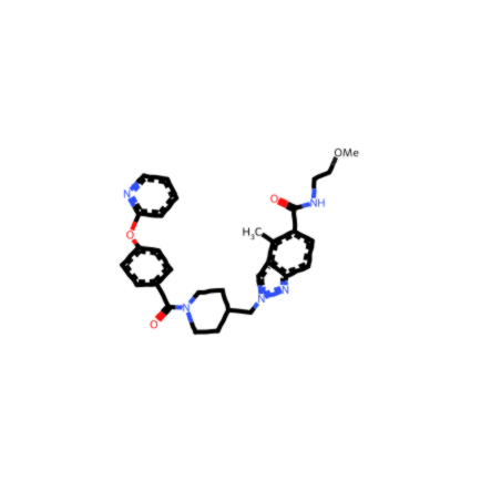 COCCNC(=O)c1ccc2nn(CC3CCN(C(=O)c4ccc(Oc5ccccn5)cc4)CC3)cc2c1C